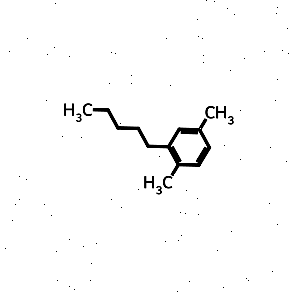 CCCCCc1cc(C)ccc1C